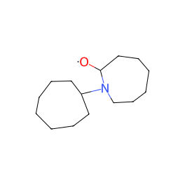 [O]C1CCCCCCN1C1CCCCCCC1